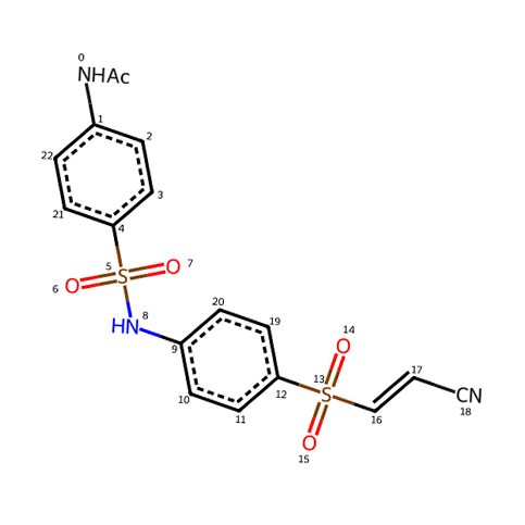 CC(=O)Nc1ccc(S(=O)(=O)Nc2ccc(S(=O)(=O)C=CC#N)cc2)cc1